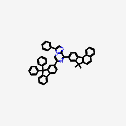 CC1(C)c2cc(-c3nc(-c4ccc5c(c4)C(c4ccccc4)(c4ccccc4)c4ccccc4-5)cn4c(-c5ccccc5)cnc34)ccc2-c2c1ccc1ccccc21